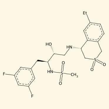 CCc1ccc2c(c1)[C@@H](NC[C@@H](O)[C@H](Cc1cc(F)cc(F)c1)NS(C)(=O)=O)CS(=O)(=O)C2